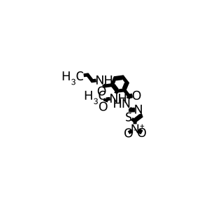 CCCNC(=O)c1cccc(C(=O)Nc2ncc([N+](=O)[O-])s2)c1NC(C)=O